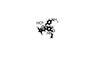 C#CCNC(=O)c1cc2c(cc1F)N(CC1CCC(N)CC1)C(=O)/C2=C\c1[nH]c(C)cc1C.Cl